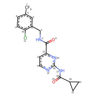 O=C(NCc1cc(C(F)(F)F)ccc1Cl)c1ccnc(NC(=O)C2CC2)n1